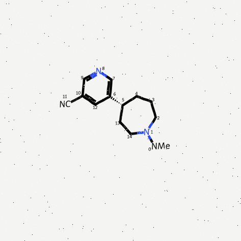 CNN1CCC[C@@H](c2cncc(C#N)c2)CC1